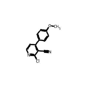 COc1ccc(-c2ccnc(Cl)c2C#N)cc1